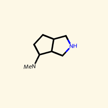 CNC1CCC2CNCC21